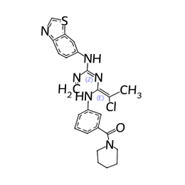 C=N/C(=N\C(Nc1cccc(C(=O)N2CCCCC2)c1)=C(/C)Cl)Nc1ccc2ncsc2c1